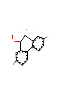 CCCCOC1c2cc(Br)ccc2-c2ccc(Br)cc2C1OCCCC